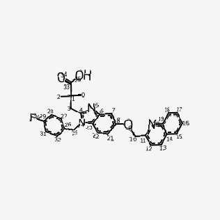 CC(C)(Cc1nc2cc(OCc3ccc4ccccc4n3)ccc2n1Cc1ccc(F)cc1)C(=O)O